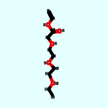 C=COC(=O)COCCOCCOCC